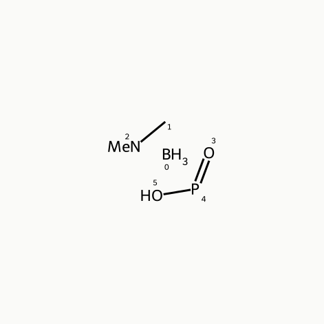 B.CNC.O=PO